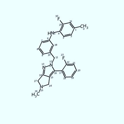 Cc1ccc(Nc2cccc(Cn3nc4c(c3-c3ccccc3F)CN(C)C4)c2)c(F)c1